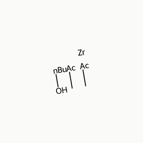 CC(C)=O.CC(C)=O.CCCCO.[Zr]